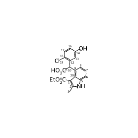 CCOC(=O)c1c(C)[nH]c2cccc(C(C(=O)O)c3cc(O)ccc3Cl)c12